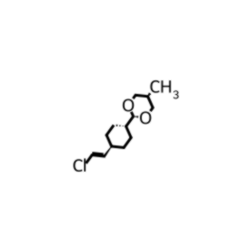 C[C@H]1CO[C@H]([C@H]2CC[C@H](/C=C/Cl)CC2)OC1